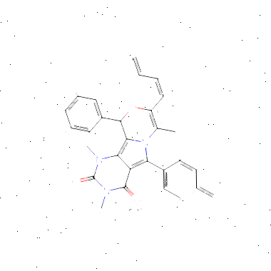 C=C/C=C\C1=C(C)n2c(C(/C=C\C=C)=C/C)c3c(=O)n(C)c(=O)n(C)c3c2C(c2ccccc2)O1